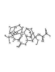 C=C(C)C(=O)OC1(CC)C2CC3CC(C2)C(CC(=C)C(=O)OC2(C(C)C)C4CC5CC(C4)CC2C5)C1C3